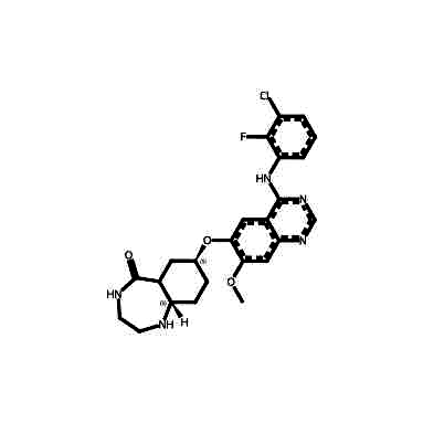 COc1cc2ncnc(Nc3cccc(Cl)c3F)c2cc1O[C@H]1CC[C@@H]2NCCNC(=O)C2C1